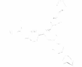 COC(=O)C(C)Oc1ccc(-c2cc(-c3ccc(-c4ccccc4)cc3)cc(-c3ccc(-c4ccccc4)cc3)c2)c(O)c1